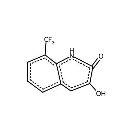 O=c1[nH]c2c(C(F)(F)F)cccc2cc1O